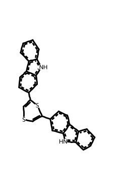 C1=C(c2ccc3c(c2)[nH]c2ccccc23)SC(c2ccc3c(c2)[nH]c2ccccc23)=CS1